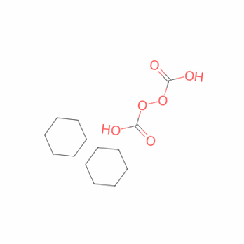 C1CCCCC1.C1CCCCC1.O=C(O)OOC(=O)O